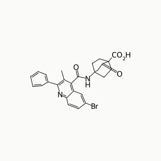 Cc1c(-c2ccccc2)nc2ccc(Br)cc2c1C(=O)NC12CCC(C(=O)O)(CC1)C(=O)C2